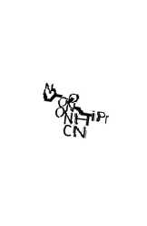 CC(C)CCN(C(=O)NCC#N)C(=O)OCc1cccnc1